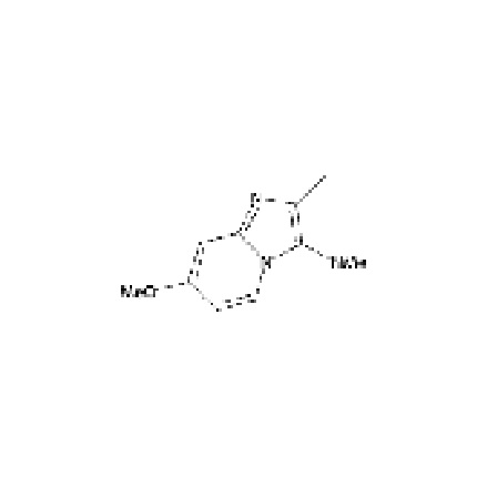 CNc1c(C)nc2cc(OC)ccn12